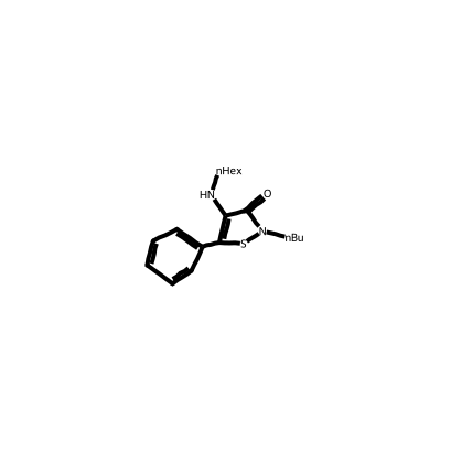 CCCCCCNc1c(-c2ccccc2)sn(CCCC)c1=O